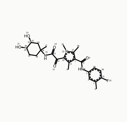 Cc1cc(NC(=O)c2c(C)c(C(=O)C(=O)NC3(C)CC[C@@H](O)[C@@H](O)C3)n(C)c2C)ccc1F